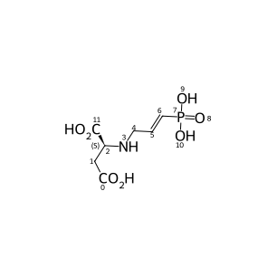 O=C(O)C[C@H](NCC=CP(=O)(O)O)C(=O)O